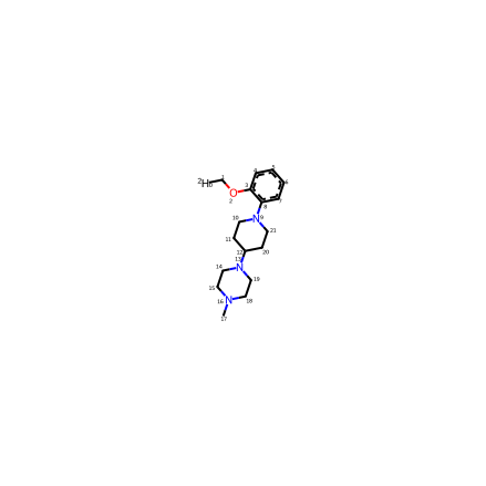 [2H]COc1ccccc1N1CCC(N2CCN(C)CC2)CC1